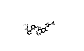 Cc1cc(N)c(C(=O)Nc2cccc(-c3nncn3C(C)CO)n2)cc1-n1cnc(C2CC2)c1